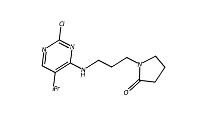 CC(C)c1cnc(Cl)nc1NCCCN1CCCC1=O